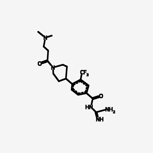 CN(C)CCC(=O)N1CCC(c2ccc(C(=O)NC(=N)N)cc2C(F)(F)F)CC1